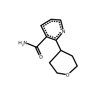 NC(=O)c1cccnc1C1CCOCC1